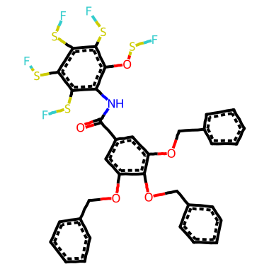 O=C(Nc1c(OSF)c(SF)c(SF)c(SF)c1SF)c1cc(OCc2ccccc2)c(OCc2ccccc2)c(OCc2ccccc2)c1